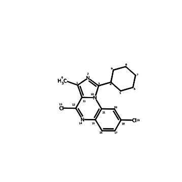 Cc1nc(C2CCCCC2)n2c1c(Cl)nc1ccc(Cl)cc12